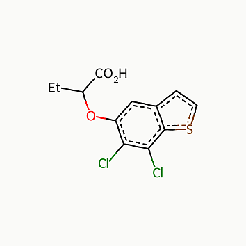 CCC(Oc1cc2ccsc2c(Cl)c1Cl)C(=O)O